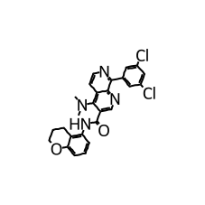 CN(C)c1c(C(=O)Nc2cccc3c2CCCO3)cnc2c(-c3cc(Cl)cc(Cl)c3)nccc12